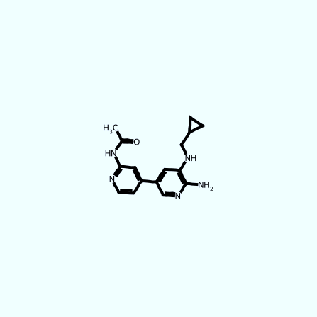 CC(=O)Nc1cc(-c2cnc(N)c(NCC3CC3)c2)ccn1